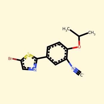 [C-]#[N+]c1cc(-c2ncc(Br)s2)ccc1OC(C)C